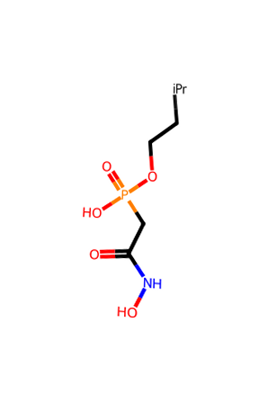 CC(C)CCOP(=O)(O)CC(=O)NO